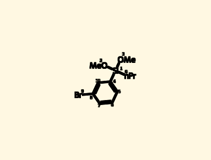 CCC[Si](OC)(OC)c1cccc(Br)c1